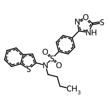 CCCCN(c1cc2ccccc2s1)S(=O)(=O)c1ccc(-c2noc(=S)[nH]2)cc1